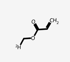 [2H]COC(=O)C=C